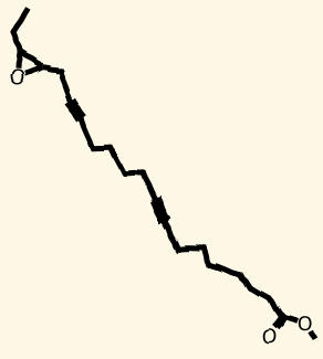 CCC1OC1CC#CCCCCC#CCCCCCCC(=O)OC